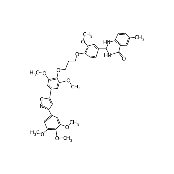 COc1cc(C2NC(=O)c3cc(C)ccc3N2)ccc1OCCCOc1c(OC)cc(-c2cc(-c3cc(OC)c(OC)c(OC)c3)no2)cc1OC